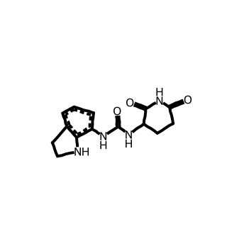 O=C1CCC(NC(=O)Nc2cccc3c2NCC3)C(=O)N1